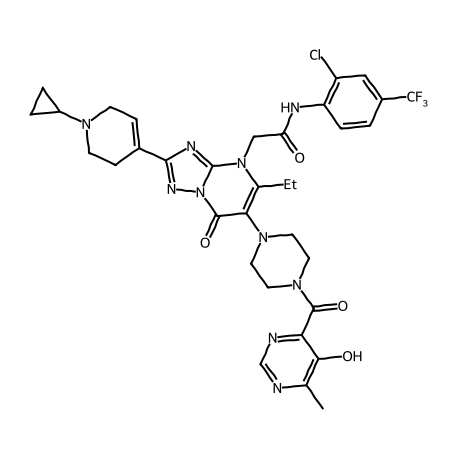 CCc1c(N2CCN(C(=O)c3ncnc(C)c3O)CC2)c(=O)n2nc(C3=CCN(C4CC4)CC3)nc2n1CC(=O)Nc1ccc(C(F)(F)F)cc1Cl